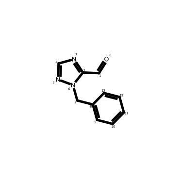 O=Cc1ncnn1Cc1ccccc1